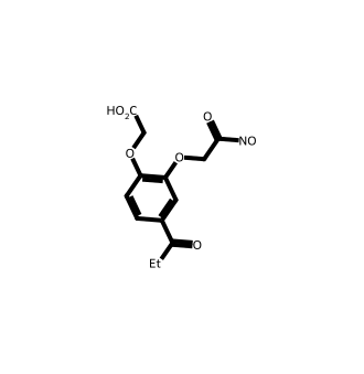 CCC(=O)c1ccc(OCC(=O)O)c(OCC(=O)N=O)c1